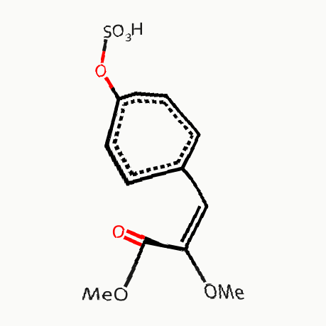 [CH2]OC(=O)C(=Cc1ccc(OS(=O)(=O)O)cc1)OC